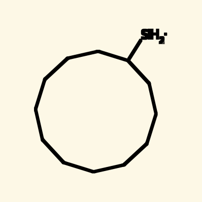 [SiH2]C1CCCCCCCCCCC1